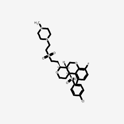 CN1CCN(CCS(=O)(=O)CC[C@@H]2OCC[C@@]3(S(=O)(=O)c4ccc(Cl)cc4)c4c(F)ccc(F)c4OC[C@@H]23)CC1